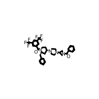 O=C(c1ccccc1)N1CC(N2CCN([C@H]3CCN(C(=O)c4cc(C(F)(F)F)cc(C(F)(F)F)c4)[C@H](Cc4ccccc4)C3)CC2)C1